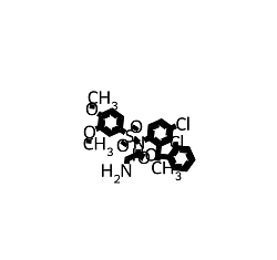 COc1ccc(S(=O)(=O)N(C(=O)CN)c2ccc(Cl)cc2C(C)(O)c2ccccc2Cl)cc1OC